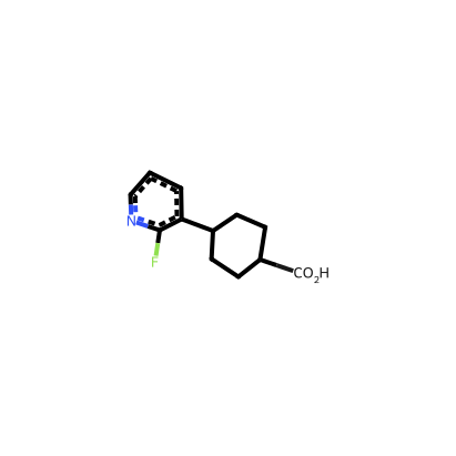 O=C(O)C1CCC(c2cccnc2F)CC1